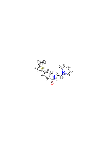 O=Cc1ccc(-c2ccc3c(c2)CN(CCCN2CCCCC2)C3=O)s1